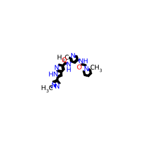 Cc1ncc(NC(=O)CN2CCCCC2C)cc1NC(=O)c1cnc2[nH]c(-c3cnn(C)c3)cc2c1